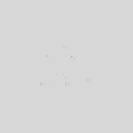 C=C(C)C(=O)O.C=C(C)C(=O)O.C=Cc1ccccc1C=C